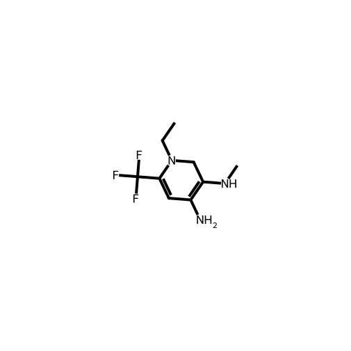 CCN1CC(NC)=C(N)C=C1C(F)(F)F